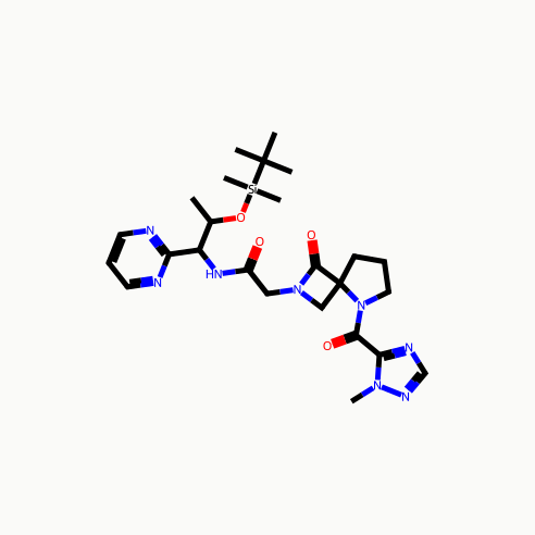 CC(O[Si](C)(C)C(C)(C)C)C(NC(=O)CN1CC2(CCCN2C(=O)c2ncnn2C)C1=O)c1ncccn1